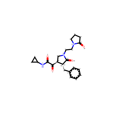 O=C(NC1CC1)C(=O)[C@H]1CN(CCN2CCCC2=O)C(=O)[C@@H]1Cc1ccccc1